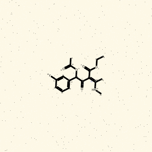 CCOC(=O)/C(C(=O)C(OC(C)=O)c1cccc(F)c1)=C(\C)NC